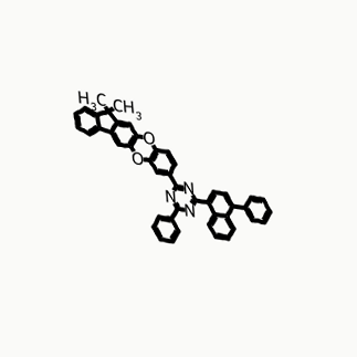 CC1(C)c2ccccc2-c2cc3c(cc21)Oc1ccc(-c2nc(-c4ccccc4)nc(-c4ccc(-c5ccccc5)c5ccccc45)n2)cc1O3